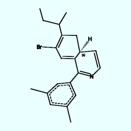 CCC(C)C1=C(Br)C=C2C(c3cc(C)cc(C)c3)=NC=C[C@@H]2C1